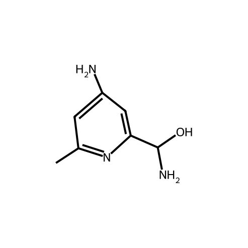 Cc1cc(N)cc(C(N)O)n1